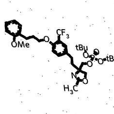 COc1ccccc1CCCOc1ccc(CCC2(COP(=O)(OC(C)(C)C)OC(C)(C)C)COC(C)=N2)cc1C(F)(F)F